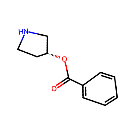 O=C(O[C@@H]1CCNC1)c1ccccc1